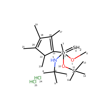 C[O][Zr]([CH3])(=[SiH2])([NH]C(C)(C)C)([O][Si](C)(C)C)[C]1=C(C)C(C)=C(C)C1C.Cl.Cl